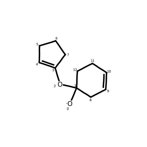 [O]C1(OC2=CCCC2)CC=CCC1